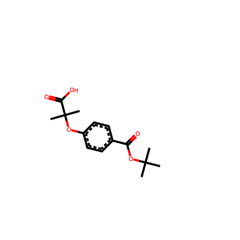 CC(C)(C)OC(=O)c1ccc(OC(C)(C)C(=O)O)cc1